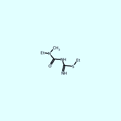 CCSC(=N)NC(=O)N(C)CC